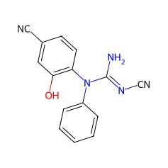 N#CN=C(N)N(c1ccccc1)c1ccc(C#N)cc1O